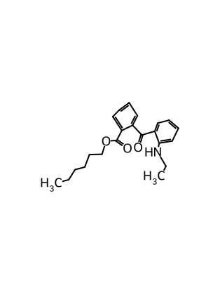 CCCCCCOC(=O)c1ccccc1C(=O)c1ccccc1NCC